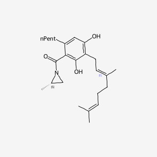 CCCCCc1cc(O)c(C/C=C(\C)CCC=C(C)C)c(O)c1C(=O)N1C[C@@H]1C